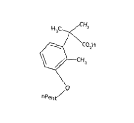 CCCCCOc1cccc(C(C)(C)C(=O)O)c1C